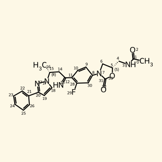 CC(=O)NC[C@H]1CN(c2ccc(C(=N)C[C@@H](C)n3ccc(-c4ccccc4)n3)c(F)c2)C(=O)O1